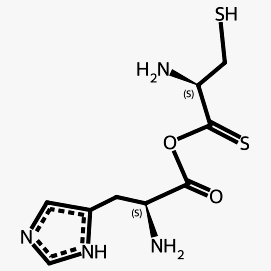 N[C@@H](Cc1cnc[nH]1)C(=O)OC(=S)[C@@H](N)CS